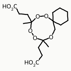 CC1(CCC(=O)O)OCC2(CCCCC2)OOC(C)(CCC(=O)O)OO1